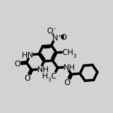 Cc1c([N+](=O)[O-])cc2[nH]c(=O)c(=O)[nH]c2c1C(C)NC(=O)C1CCCCC1